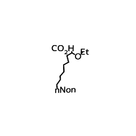 CCCCCCCCCCCCCCCCC(OCC)C(=O)O